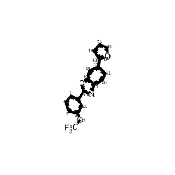 FC(F)(F)Oc1cccc(-c2nc3ccc(-c4ccco4)cc3o2)c1